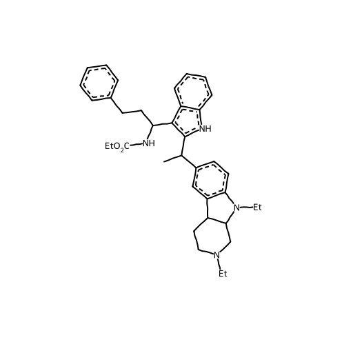 CCOC(=O)NC(CCc1ccccc1)c1c(C(C)c2ccc3c(c2)C2CCN(CC)CC2N3CC)[nH]c2ccccc12